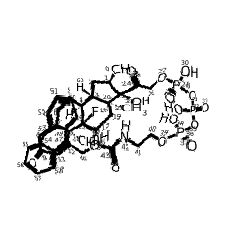 C[C@@H]1C[C@H]2[C@@H]3CCC4=CC(=O)C=C[C@]4(C)[C@@]3(F)[C@@H](O)C[C@]2(C)[C@@]1(O)C(=O)COP(=O)(O)OP(=O)(O)OP(=O)(O)OCCNC(=O)OCC1c2ccccc2-c2ccccc21